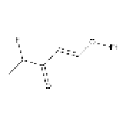 CCO/C=C/C(=O)C(C)F